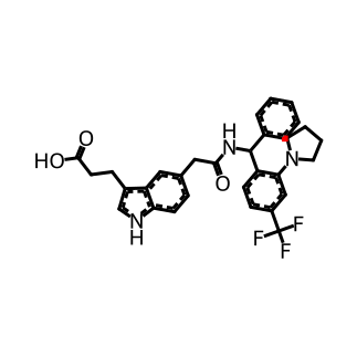 O=C(O)CCc1c[nH]c2ccc(CC(=O)NC(c3ccccc3)c3ccc(C(F)(F)F)cc3N3CCCC3)cc12